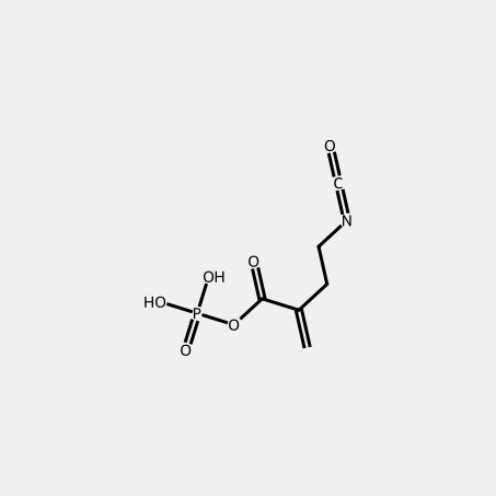 C=C(CCN=C=O)C(=O)OP(=O)(O)O